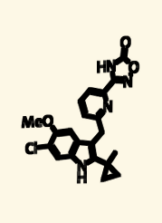 COc1cc2c(Cc3cccc(-c4noc(=O)[nH]4)n3)c(C3(C)CC3)[nH]c2cc1Cl